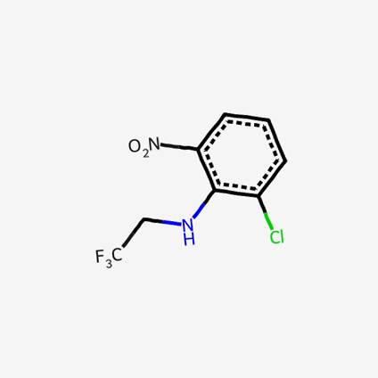 O=[N+]([O-])c1cccc(Cl)c1NCC(F)(F)F